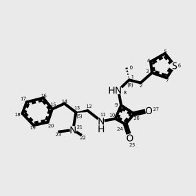 C[C@H](Cc1ccsc1)Nc1c(NC[C@H](Cc2ccccc2)N(C)C)c(=O)c1=O